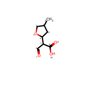 CC1COC(C(C=O)C(=O)O)C1